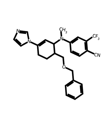 CN(c1ccc(C#N)c(C(F)(F)F)c1)C1C=C(n2ccnc2)CCC1COCc1ccccc1